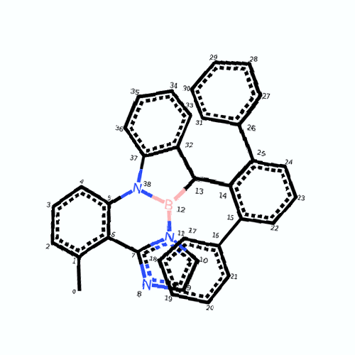 Cc1cccc2c1-c1nccn1B1C(c3c(-c4ccccc4)cccc3-c3ccccc3)c3ccccc3N12